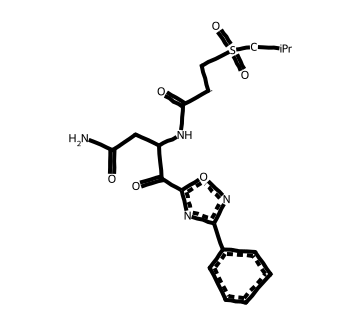 CC(C)CS(=O)(=O)C[CH]C(=O)NC(CC(N)=O)C(=O)c1nc(-c2ccccc2)no1